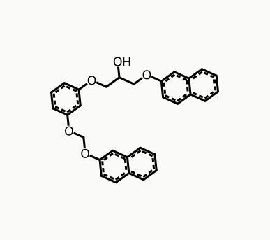 OC(COc1cccc(OCOc2ccc3ccccc3c2)c1)COc1ccc2ccccc2c1